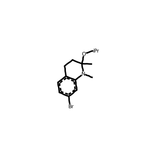 CC(C)OC1(C)CCc2ccc(Br)cc2N1C